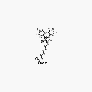 COC(=O)CCCCCCCN1CC(c2ccccc2)N(c2ccc(F)cc2)C1=O